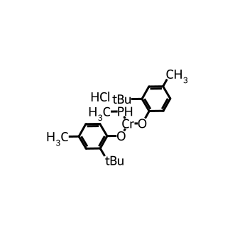 C[PH][Cr]([O]c1ccc(C)cc1C(C)(C)C)[O]c1ccc(C)cc1C(C)(C)C.Cl